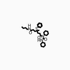 CCCCNC(=O)CCC(C)(CCC(=O)N(C(=O)NC1CCCCC1)C1CCCCC1)Sc1ccccc1